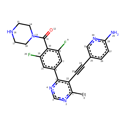 CCc1ncnc(-c2cc(F)c(C(=O)N3CCNCC3)c(F)c2)c1C#Cc1ccc(N)nc1